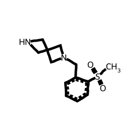 CS(=O)(=O)c1ccccc1CN1CC2(CNC2)C1